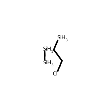 [SiH3]CCCl.[SiH3][SiH3]